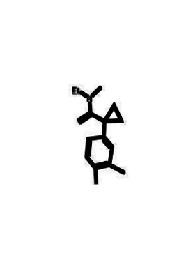 C=C(N(C)CC)C1(c2ccc(C)c(C)c2)CC1